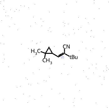 CC(C)(C)/C(C#N)=C/C1CC1(C)C